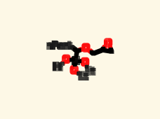 CCCCCC(OCC1CO1)[Si](OCC)(OCC)OCC